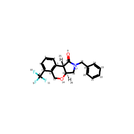 O=C1[C@H]2c3cccc(C(F)(F)F)c3CO[C@@H]2CN1Cc1ccccc1